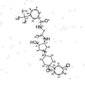 O=C(CNC(=O)c1cccc(C(F)(F)F)c1)N[C@H]1CN(C2CCC(O)(c3cccc(Cl)c3)CC2)C[C@H]1O